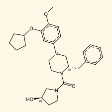 COc1ccc(N2CCN(C(=O)N3CC[C@@H](O)C3)[C@@H](Cc3ccccc3)C2)cc1OC1CCCC1